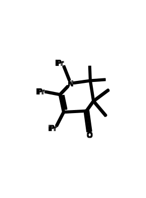 CC(C)C1=C(C(C)C)N(C(C)C)C(C)(C)C(C)(C)C1=O